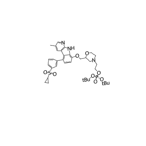 Cc1cnc2[nH]c3c(OCC4CN(CCOP(=O)(OC(C)(C)C)OC(C)(C)C)CCO4)ccc(-c4cccc(S(=O)(=O)C5CC5)c4)c3c2c1